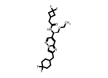 CCOC[C@H](NC(=O)CC1CC(F)(F)C1)c1cnn2cc(CC3CCC(F)(F)CC3)nc2c1